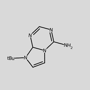 CC(C)(C)N1C=CN2C(N)=NC=NC21